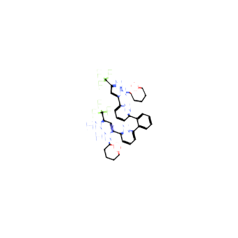 N=C(/C=C(\NC1CCCCO1)c1cccc(-c2ccccc2-c2cccc(-c3cc(C(F)(F)F)nn3C3CCCCO3)n2)n1)C(F)(F)F